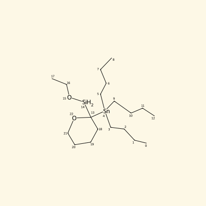 CCC[CH2][Sn]([CH2]CCC)([CH2]CCC)[C]1([SiH2]OCC)CCCCO1